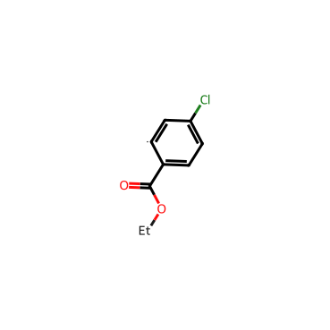 CCOC(=O)c1[c]cc(Cl)cc1